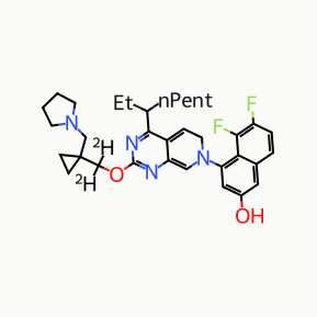 [2H]C([2H])(Oc1nc(C(CC)CCCCC)c2c(n1)=CN(c1cc(O)cc3ccc(F)c(F)c13)CC=2)C1(CN2CCCC2)CC1